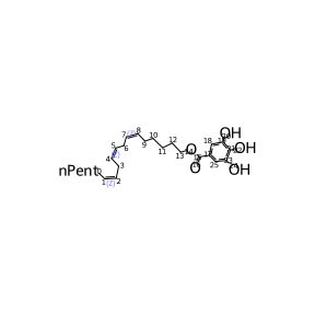 CCCCC/C=C\C/C=C\C/C=C\CCCCCOC(=O)c1cc(O)c(O)c(O)c1